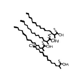 C.C=CCCCCCCCCCCCC(C)C(O)=S.C=CCCCCCCCCCCCC(C)C(O)=S.C=CCCCCCCCCCCCC(C)C(O)=S.C=CCCCCCCCCCCCC(C)C(O)=S